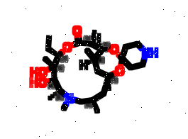 CC[C@H]1OC(=O)[C@H](C)[C@H]2OC3(CCNCC3)O[C@@](C)(C[C@@H](C)CN(C)[C@H](C)[C@@H](O)[C@]1(C)O)C[C@H]2C